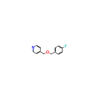 Fc1ccc(COCc2ccncc2)cc1